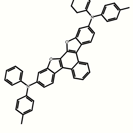 Cc1ccc(N(C2=CC=CCC2)c2ccc3c(c2)oc2c4oc5cc(N(c6ccccc6)c6ccc(C)cc6)ccc5c4c4ccccc4c32)cc1